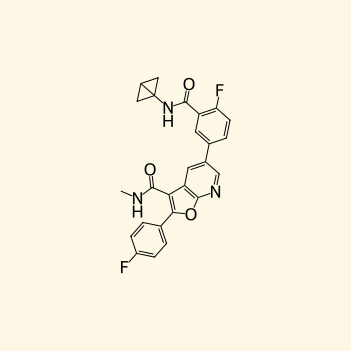 CNC(=O)c1c(-c2ccc(F)cc2)oc2ncc(-c3ccc(F)c(C(=O)NC45CC4C5)c3)cc12